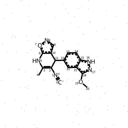 [C-]#[N+]C1=C(C)Nc2oncc2C1c1ccc2[nH]nc(OC)c2c1